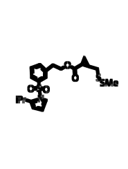 CSSCC1CC1C(=O)OCCc1cccc(S(=O)(=O)n2cccc2C(C)C)c1